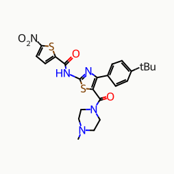 CN1CCN(C(=O)c2sc(NC(=O)c3ccc([N+](=O)[O-])s3)nc2-c2ccc(C(C)(C)C)cc2)CC1